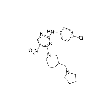 O=[N+]([O-])c1cnc(Nc2ccc(Cl)cc2)nc1N1CCCC(CN2CCCC2)C1